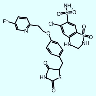 CCc1ccc(CCOc2ccc(CC3SC(=O)NC3=O)cc2)nc1.NS(=O)(=O)c1cc2c(cc1Cl)NCNS2(=O)=O